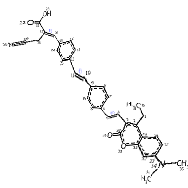 CCc1c(/C=C/c2ccc(/C=C/c3ccc(/C=C(\CC#N)C(=O)O)cc3)cc2)c(=O)oc2cc(N(C)C)ccc12